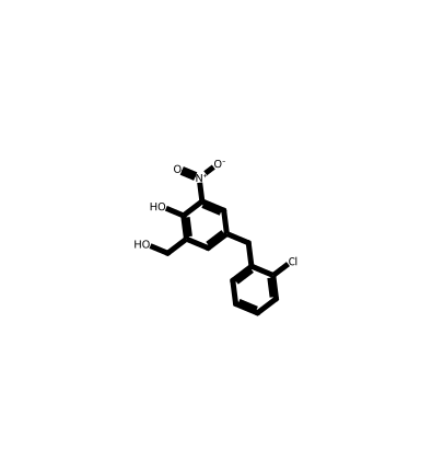 O=[N+]([O-])c1cc(Cc2ccccc2Cl)cc(CO)c1O